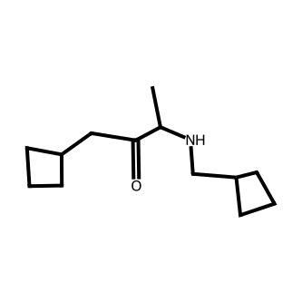 CC(NCC1CCC1)C(=O)CC1CCC1